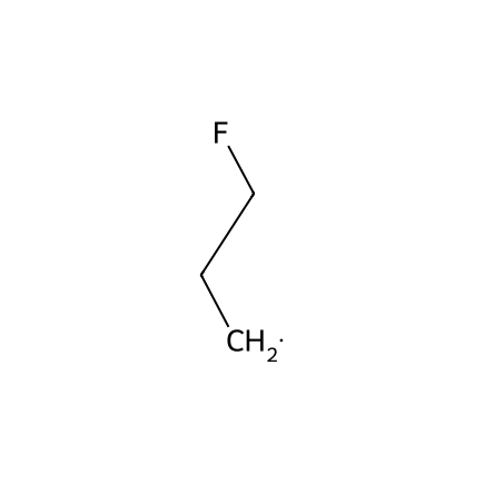 [CH2]CCF